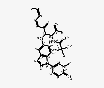 C=C(/C=C\C=C/C)C(Oc1ccc2c(cnn2-c2ccc(=O)n(C)c2)c1)[C@@H](NC(=O)C(C)(F)F)C(=C)C